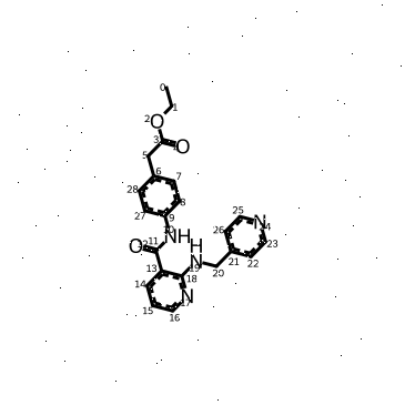 CCOC(=O)Cc1ccc(NC(=O)c2cccnc2NCc2ccncc2)cc1